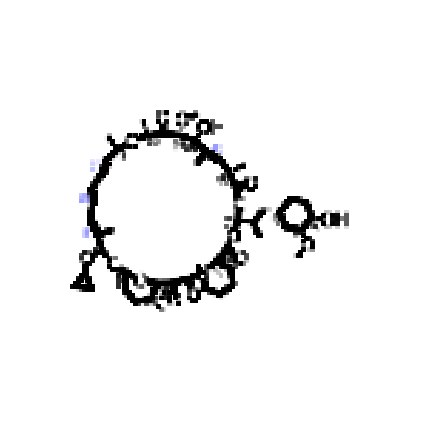 CO[C@@H]1C[C@H](CC(C)[C@@H]2CC(=O)[C@H](C)/C=C(\C)[C@@H](O)[C@@H](OC)C(=O)[C@H](C)C[C@H](C)/C=C/C=C/C=C(\C)[C@H](OC3CC3)C[C@@H]3CC[C@@H](C)[C@@](O)(O3)C(=O)C(=O)N3CCCC[C@H]3C(=O)O2)CC[C@H]1O